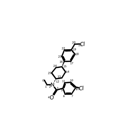 CCN(C(=O)c1ccc(Cl)cc1)[C@H]1CC[C@H](c2ccc(CCl)cc2)CC1